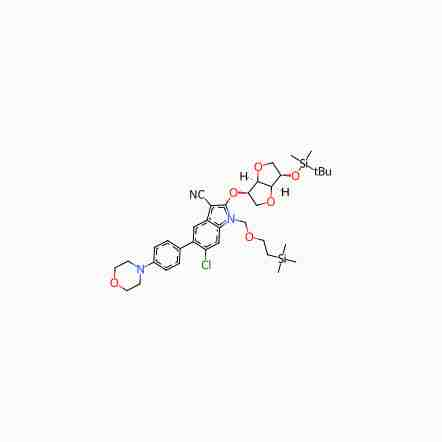 CC(C)(C)[Si](C)(C)O[C@@H]1CO[C@H]2[C@@H]1OC[C@H]2Oc1c(C#N)c2cc(-c3ccc(N4CCOCC4)cc3)c(Cl)cc2n1COCC[Si](C)(C)C